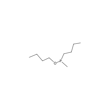 CCCCOP(C)CCCC